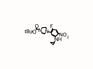 CC(C)(C)OC(=O)N1CCN(c2cc(NC3CC3)c([N+](=O)[O-])cc2F)CC1